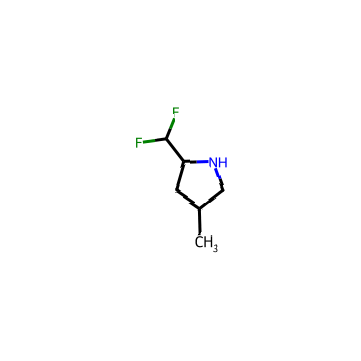 CC1CNC(C(F)F)C1